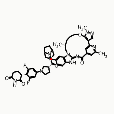 Cc1cc2cc(n1)-c1cnn(C)c1OCCC[C@@H](C)CN1/C(=N/C2=O)Nc2ccc(CN3C4CCC3CN(C(=O)[C@@H]3CCN(c5cc(F)c([C@H]6CCC(=O)NC6=O)c(F)c5)C3)C4)cc21